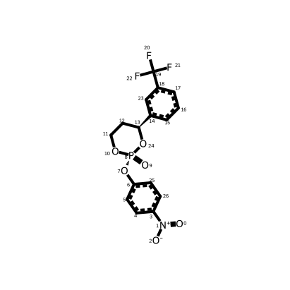 O=[N+]([O-])c1ccc(O[P@]2(=O)OCC[C@@H](c3cccc(C(F)(F)F)c3)O2)cc1